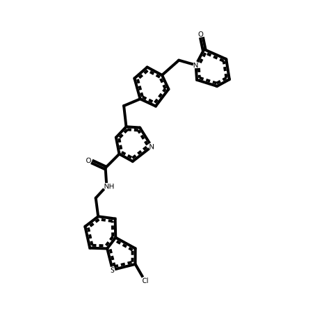 O=C(NCc1ccc2sc(Cl)cc2c1)c1cncc(Cc2ccc(Cn3ccccc3=O)cc2)c1